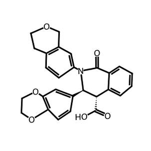 O=C(O)[C@H]1c2ccccc2C(=O)N(c2ccc3c(c2)COCC3)[C@@H]1c1ccc2c(c1)OCCO2